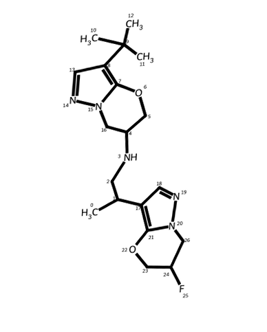 CC(CNC1COc2c(C(C)(C)C)cnn2C1)c1cnn2c1OCC(F)C2